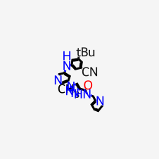 Cc1ncc(Nc2cc(C#N)cc(C(C)(C)C)c2)cc1-n1cc(C(=O)NCc2ccccn2)nn1